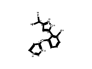 Fc1cccc(Oc2ccncn2)c1-c1cc(C(F)F)no1